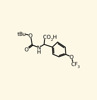 CC(C)(C)OC(=O)NC(C(=O)O)c1ccc(OC(F)(F)F)cc1